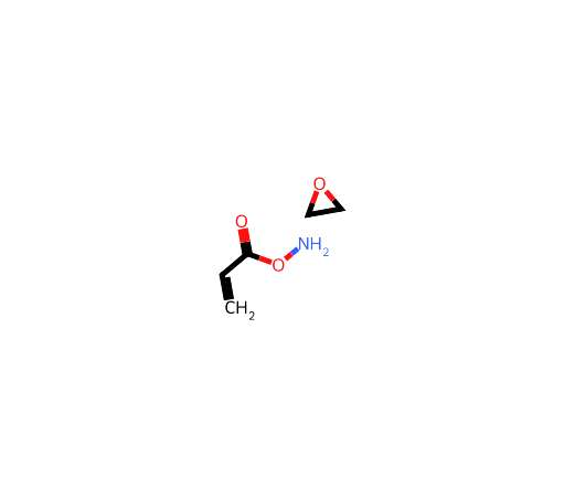 C1CO1.C=CC(=O)ON